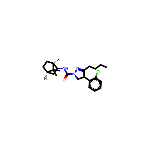 CCCCC1=NN(C(=O)N[C@H]2C[C@H]3CC[C@]2(C)C3(C)C)CC1c1ccccc1Cl